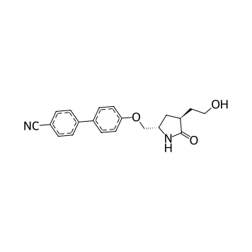 N#Cc1ccc(-c2ccc(OC[C@@H]3C[C@@H](CCO)C(=O)N3)cc2)cc1